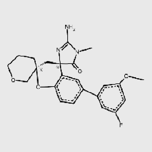 COc1cc(F)cc(-c2ccc3c(c2)[C@]2(C[C@]4(CCCOC4)O3)N=C(N)N(C)C2=O)c1